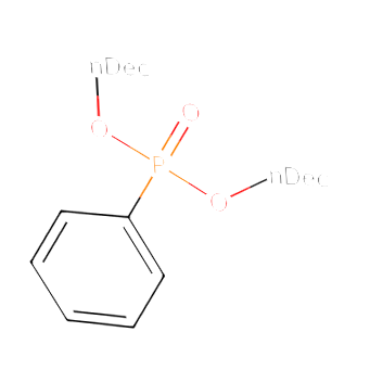 CCCCCCCCCCOP(=O)(OCCCCCCCCCC)c1ccccc1